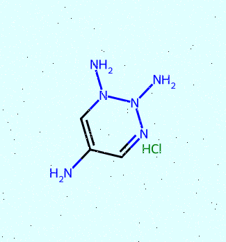 Cl.NC1=CN(N)N(N)N=C1